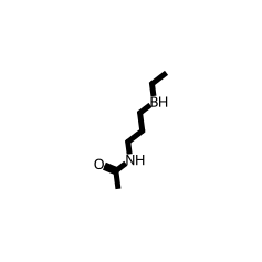 CCBCCCNC(C)=O